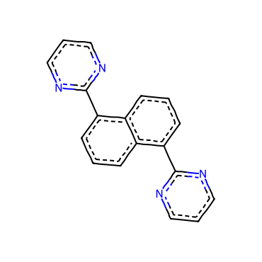 c1cnc(-c2cccc3c(-c4ncccn4)cccc23)nc1